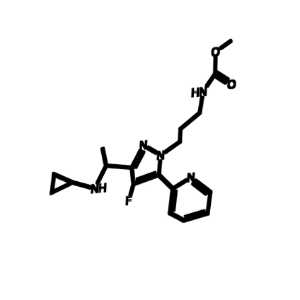 COC(=O)NCCCn1nc(C(C)NC2CC2)c(F)c1-c1ccccn1